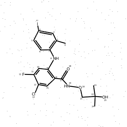 Cc1cc(I)ccc1Nc1cc(F)c(Cl)cc1C(=O)NOCC(C)(C)O